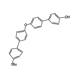 CC(C)(C)c1ccc(-c2ccc(Oc3ccc(-c4ccc(O)cc4)cc3)cc2)cc1